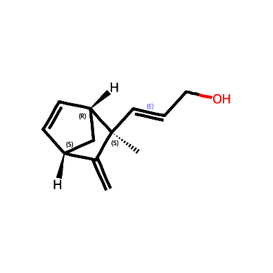 C=C1[C@@H]2C=C[C@@H](C2)[C@@]1(C)/C=C/CO